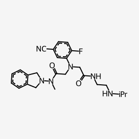 CC(C)NCCNC(=O)CN(CC(=O)N(C)N1Cc2ccccc2C1)c1cc(C#N)ccc1F